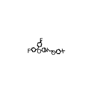 CC(C)(C)c1ccc(OCCCN2CCC(OC(c3ccc(F)cc3)c3ccc(F)cc3)CC2)cc1